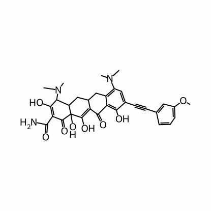 COc1cccc(C#Cc2cc(N(C)C)c3c(c2O)C(=O)C2=C(O)C4(O)C(=O)C(C(N)=O)=C(O)C(N(C)C)C4CC2C3)c1